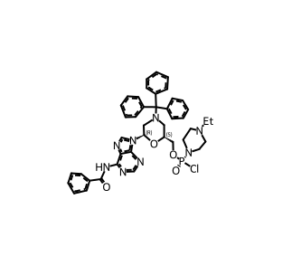 CCN1CCN(P(=O)(Cl)OC[C@@H]2CN(C(c3ccccc3)(c3ccccc3)c3ccccc3)C[C@H](n3cnc4c(NC(=O)c5ccccc5)ncnc43)O2)CC1